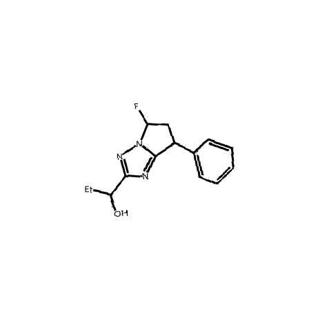 CCC(O)c1nc2n(n1)C(F)CC2c1ccccc1